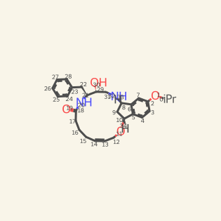 CC(C)Oc1ccc2c(c1)[C@@H]1C[C@H]2OCC=CCCCC(=O)N[C@@H](Cc2ccccc2)[C@H](O)CN1